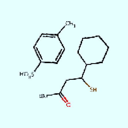 CC(C)(C)C(=O)CC(S)C1CCCCC1.Cc1ccc(S(=O)(=O)O)cc1